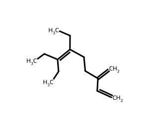 C=CC(=C)CCC(CC)=C(CC)CC